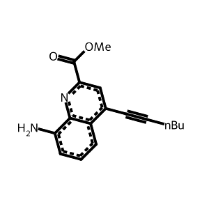 CCCCC#Cc1cc(C(=O)OC)nc2c(N)cccc12